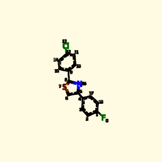 Fc1ccc(-c2csc(-c3ccc(Cl)cc3)n2)cc1